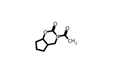 CC(=O)N1CC2CCCC2OC1=O